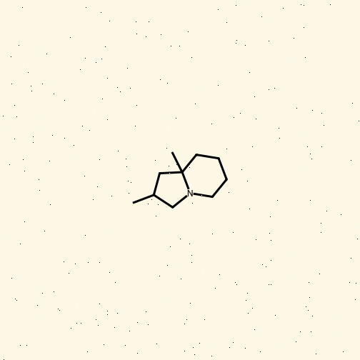 CC1CN2CCCCC2(C)C1